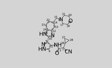 N#CC(C(=O)Nc1c[nH]nc1-c1nc2cc(CN3CCOCC3)ccc2[nH]1)C1CC1